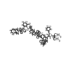 CN(C)CC[C@H](CSc1ccccc1)Nc1ccc(S(=O)(=O)NC(=O)c2csc(N3CCc4cccc(C(=O)NC(=O)c5cn6ccccc6n5)c4C3)n2)cc1S(=O)(=O)C(F)(F)F